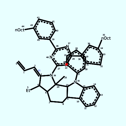 C=C/C=C1\C(CC)C2CCC3c4ccccc4N(c4ccccc4)C3C2(C)N1c1nc(-c2cccc(CCCCCCCC)c2)nc(-c2cccc(CCCCCCCC)c2)n1